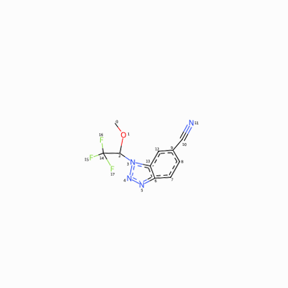 COC(n1nnc2ccc(C#N)cc21)C(F)(F)F